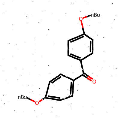 CCCCOc1ccc(C(=O)c2ccc(OCCCC)cc2)cc1